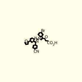 N#Cc1ccc(-c2nc(-n3cc(C(=O)CCC(=O)O)c4cc(Br)ccc43)nc3ccc(-c4ccco4)cc23)cc1